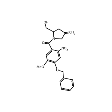 C=C1CC(CO)N(C(=O)c2cc(OC)c(OCc3ccccc3)cc2[N+](=O)[O-])C1